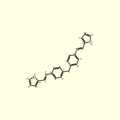 C(=N\c1ccc(Cc2ccc(/N=C/c3ccco3)cc2)cc1)/c1ccco1